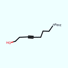 CCCCCCCCC#CCCO